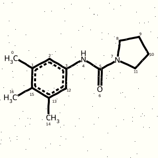 Cc1cc(NC(=O)N2CCCC2)cc(C)c1C